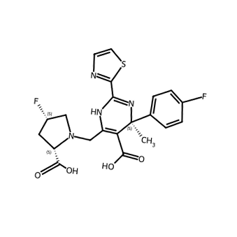 C[C@@]1(c2ccc(F)cc2)N=C(c2nccs2)NC(CN2C[C@@H](F)C[C@H]2C(=O)O)=C1C(=O)O